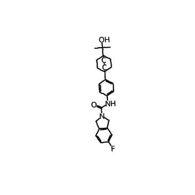 CC(C)(O)C12CCC(c3ccc(NC(=O)N4Cc5ccc(F)cc5C4)cc3)(CC1)CC2